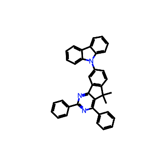 CC1(C)c2ccc(-n3c4ccccc4c4ccccc43)cc2-c2nc(-c3ccccc3)nc(-c3ccccc3)c21